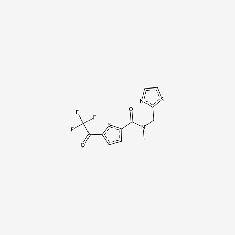 CN(Cc1nccs1)C(=O)c1ccc(C(=O)C(F)(F)F)s1